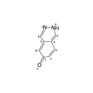 O=c1ccc2c[nH]ncc-2c1